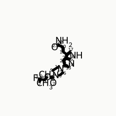 CC(C)(F)COC(=O)N1CCN(c2cnc3[nH]cc(C=CC(N)=O)c3c2)CC1